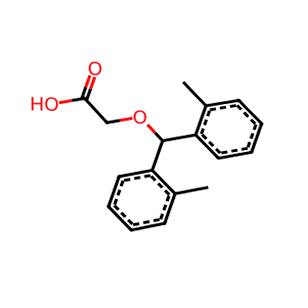 Cc1ccccc1C(OCC(=O)O)c1ccccc1C